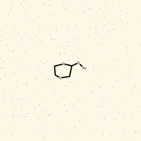 CC(=O)OC1COCCO1